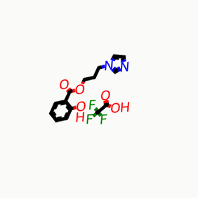 O=C(O)C(F)(F)F.O=C(OCCCn1ccnc1)c1ccccc1O